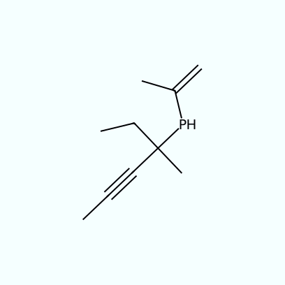 C=C(C)PC(C)(C#CC)CC